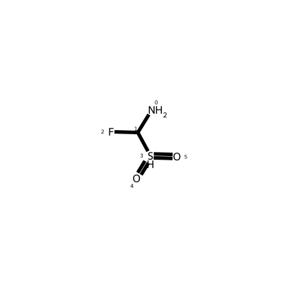 NC(F)[SH](=O)=O